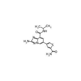 CC(C)NC(=O)c1cc(-c2csc(C(N)=O)c2)cn2nc(N)nc12